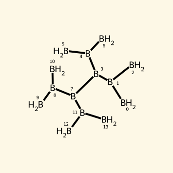 BB(B)B(B(B)B)B(B(B)B)B(B)B